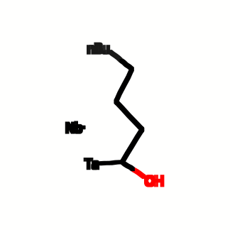 CCCCCCC[CH](O)[Ta].[Nb]